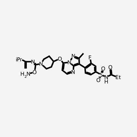 C=C(/N=C(\ON)N1CCC(Oc2ccnc3c(-c4ccc(S(=O)(=O)NC(=O)CC)cc4F)c(C)nn23)CC1)C(C)C